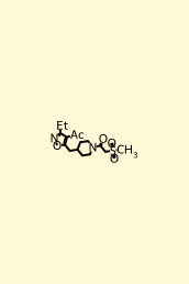 CCc1noc(CC2CCN(C(=O)CS(C)(=O)=O)CC2)c1C(C)=O